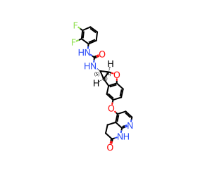 O=C1CCc2c(Oc3ccc4c(c3)[C@H]3[C@H](NC(=O)Nc5cccc(F)c5F)[C@H]3O4)ccnc2N1